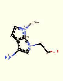 COn1ccc2c(N)cn(CCO)c21